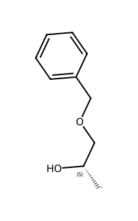 [CH2][C@H](O)COCc1ccccc1